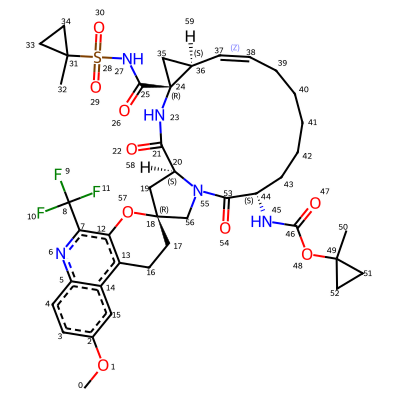 COc1ccc2nc(C(F)(F)F)c3c(c2c1)CC[C@]1(C[C@H]2C(=O)N[C@]4(C(=O)NS(=O)(=O)C5(C)CC5)C[C@H]4/C=C\CCCCC[C@H](NC(=O)OC4(C)CC4)C(=O)N2C1)O3